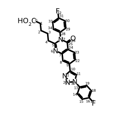 O=C(O)CCCCc1nc2cc(-c3cn(-c4ccc(F)cc4)nn3)ccc2c(=O)n1-c1ccc(F)cc1